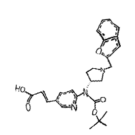 CC(C)(C)OC(=O)N(c1ccc(C=CC(=O)O)cn1)[C@@H]1CCN(Cc2cc3ccccc3o2)C1